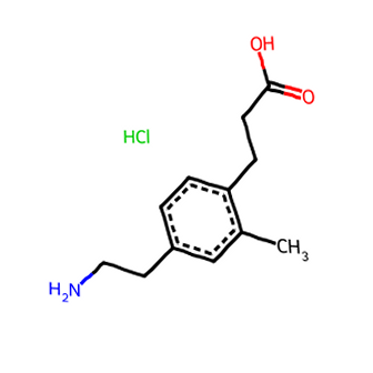 Cc1cc(CCN)ccc1CCC(=O)O.Cl